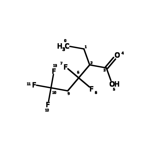 CCC(C(=O)O)C(F)(F)CC(F)(F)F